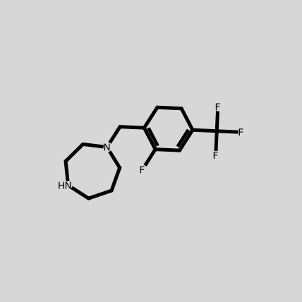 FC1=C(CN2CCCNCC2)CCC(C(F)(F)F)=C1